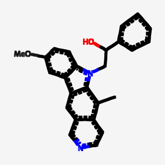 COc1ccc2c(c1)c1cc3cnccc3c(C)c1n2CC(O)c1ccccc1